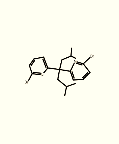 CC(C)CC(CC(C)C)(c1cccc(Br)n1)c1cccc(Br)n1